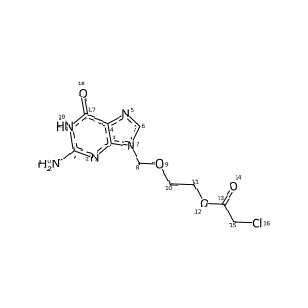 Nc1nc2c(ncn2COCCOC(=O)CCl)c(=O)[nH]1